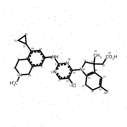 CN1CCc2c(cc(Nc3ncc(Cl)c(N4CC(C)(CC(=O)O)C5=C4CCC(F)=C5)n3)cc2C2CC2)C1